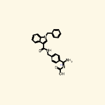 N/C(=N/C(=O)O)c1ccc(CNC(=O)c2cn(Cc3ccccc3)c3ccccc23)cc1